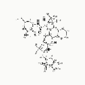 CCCCC(NC(=O)[C@@H]1[C@@H]2[C@H](CN1C(=O)[C@@H](NC(=O)N[C@H](CN1Cc3sccc3S1(=O)=O)C(C)(C)C)C1CCCCC1)C2(C)C)C(=O)C(N)=O